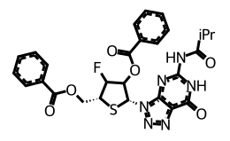 CC(C)C(=O)Nc1nc2c(nnn2[C@@H]2S[C@H](COC(=O)c3ccccc3)C(F)C2OC(=O)c2ccccc2)c(=O)[nH]1